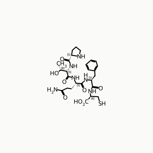 C[C@@H](O)[C@H](NC(=O)[C@@H]1CCCN1)C(=O)N[C@@H](CCC(N)=O)C(=O)N[C@@H](Cc1ccccc1)C(=O)N[C@@H](CS)C(=O)O